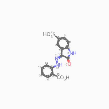 O=C1Nc2ccc(S(=O)(=O)O)cc2/C1=N/Nc1ccccc1C(=O)O